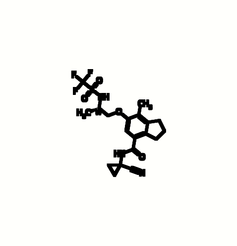 Cc1c(OC[C@H](C)NS(=O)(=O)C(F)(F)F)cc(C(=O)NC2(C#N)CC2)c2c1CCC2